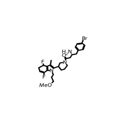 COCCCn1c2c(c(C)c1C1CCCN(C(=O)C[C@H](N)Cc3ccc(Br)cc3)C1)C(F)CC=C2F